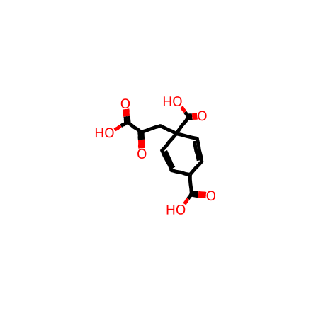 O=C(O)C(=O)CC1(C(=O)O)C=CC(C(=O)O)C=C1